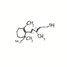 CC1=C(/C=C/C(C)=C/CS)C(C)(C)CCC1